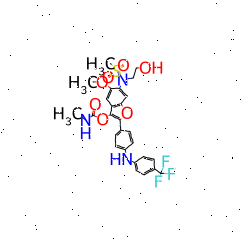 CNC(=O)Oc1c(-c2ccc(Nc3ccc(C(F)(F)F)cc3)cc2)oc2cc(N(CCO)S(C)(=O)=O)c(OC)cc12